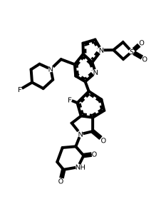 O=C1CCC(N2Cc3c(ccc(-c4cc(CN5CCC(F)CC5)c5ccn(C6CS(=O)(=O)C6)c5n4)c3F)C2=O)C(=O)N1